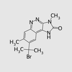 Cc1cc2nnc3c([nH]c(=O)n3C)c2cc1C(C)(C)Br